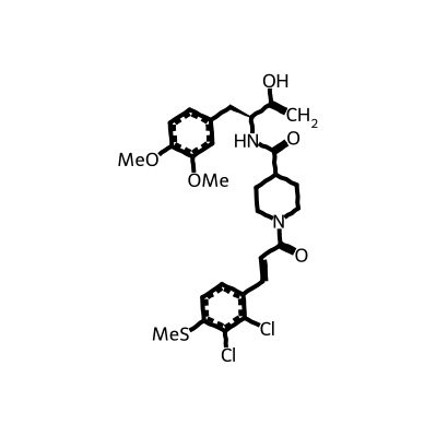 C=C(O)[C@H](Cc1ccc(OC)c(OC)c1)NC(=O)C1CCN(C(=O)/C=C/c2ccc(SC)c(Cl)c2Cl)CC1